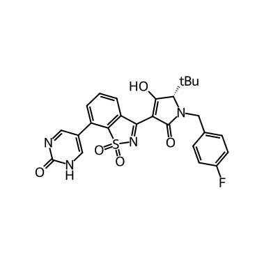 CC(C)(C)[C@H]1C(O)=C(C2=NS(=O)(=O)c3c2cccc3-c2cnc(=O)[nH]c2)C(=O)N1Cc1ccc(F)cc1